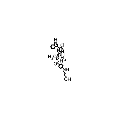 CC(C)(CNC(=O)c1ccc(NC/C=C/CO)cc1)CNc1ncc(Cl)c(-c2c[nH]c3ccccc23)n1